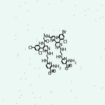 CNCC(=O)Nc1cnc(NCCNc2ccc([N+](=O)[O-])c(N)n2)nc1-c1ccc(Cl)cc1Cl.Cc1c[nH]c(-c2cnc(NCCNc3ccc([N+](=O)[O-])c(N)n3)nc2-c2ccc(Br)cc2Cl)n1